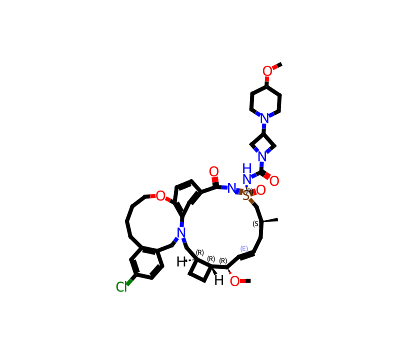 COC1CCN(C2CN(C(=O)N[S@@]3(=O)=NC(=O)c4ccc5c(c4)N(Cc4ccc(Cl)cc4CCCCO5)C[C@@H]4CC[C@H]4[C@@H](OC)/C=C/C[C@H](C)C3)C2)CC1